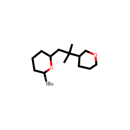 CC(C)(C)C1CCCC(CC(C)(C)C2CCCOC2)O1